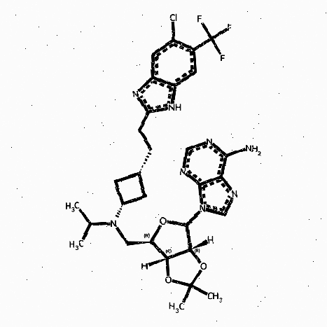 CC(C)N(C[C@H]1OC(n2cnc3c(N)ncnc32)[C@@H]2OC(C)(C)O[C@H]12)[C@H]1C[C@@H](CCc2nc3cc(Cl)c(C(F)(F)F)cc3[nH]2)C1